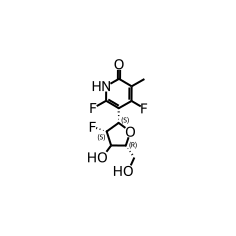 Cc1c(F)c([C@@H]2O[C@H](CO)C(O)[C@@H]2F)c(F)[nH]c1=O